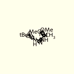 COc1cc2c(nc1OC)c(-c1cc3c(CNC4CCN(C(=O)OC(C)(C)C)CC4)ccnc3[nH]1)cn2C